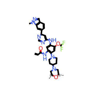 C=CC(=O)Nc1cc(Nc2cc(-c3ccc4cnn(C)c4c3)ncn2)c(OC(F)F)cc1N1CCC(N2C[C@@H](C)O[C@@H](C)C2)CC1